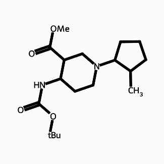 COC(=O)C1CN(C2CCCC2C)CCC1NC(=O)OC(C)(C)C